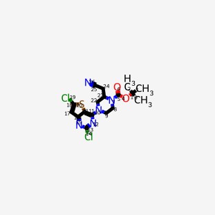 CC(C)(C)OC(=O)N1CCN(c2nc(Cl)nc3cc(Cl)sc23)CC1CC#N